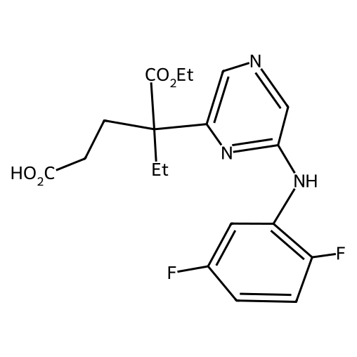 CCOC(=O)C(CC)(CCC(=O)O)c1cncc(Nc2cc(F)ccc2F)n1